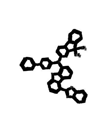 CC1(C)c2ccccc2-c2ccc(N(c3ccc(-c4ccccc4)cc3)c3cccc4c3oc3cccc(-c5nc6ccccc6o5)c34)cc21